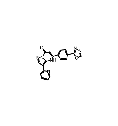 O=c1cc(-c2ccc(-c3nnco3)cc2)[nH]c2c(-c3ccccn3)cnn12